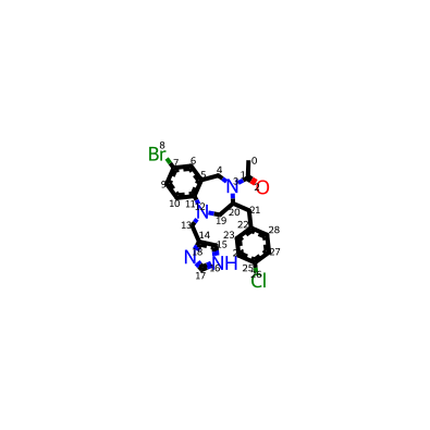 CC(=O)N1Cc2cc(Br)ccc2N(Cc2c[nH]cn2)CC1Cc1ccc(Cl)cc1